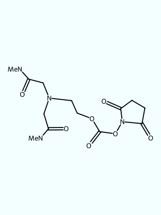 CNC(=O)CN(CCOC(=O)ON1C(=O)CCC1=O)CC(=O)NC